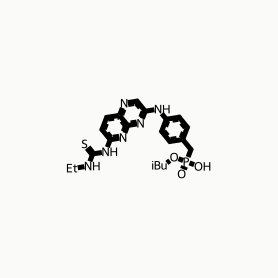 CCNC(=S)Nc1ccc2ncc(Nc3ccc(CP(=O)(O)OC(C)CC)cc3)nc2n1